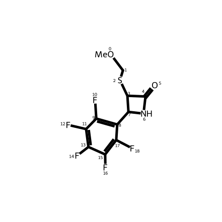 COCSC1C(=O)NC1c1c(F)c(F)c(F)c(F)c1F